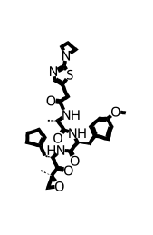 COc1ccc(C[C@H](NC(=O)[C@H](C)NC(=O)Cc2cnc(N3CCC3)s2)C(=O)N[C@@H](CC2=CCCC2)C(=O)[C@]2(C)CO2)cc1